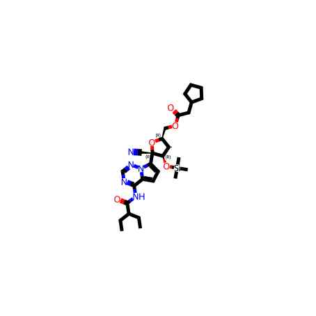 CCC(CC)C(=O)Nc1ncnn2c([C@]3(C#N)O[C@@H](COC(=O)CC4CCCC4)[CH][C@H]3O[Si](C)(C)C)ccc12